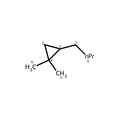 CCCCC1[CH]C1(C)C